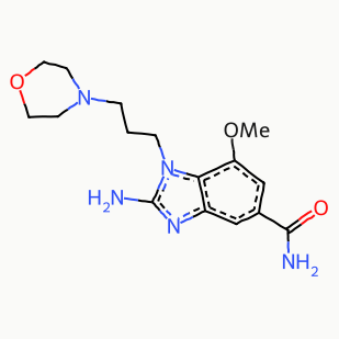 COc1cc(C(N)=O)cc2nc(N)n(CCCN3CCOCC3)c12